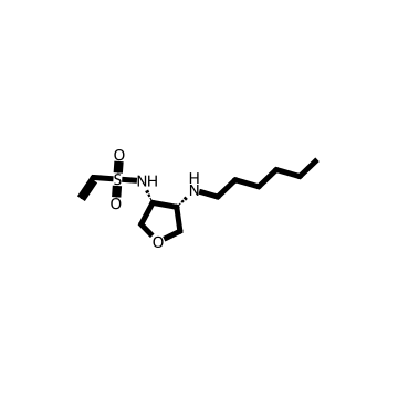 C=CS(=O)(=O)N[C@H]1COC[C@H]1NCCCCCC